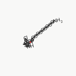 Cc1sc2c(c1C)C(c1ccc(Cl)cc1)=N[C@@H](CC(=O)Nc1ccc(OCCOCCOCCOCCOCCOCCOCCOCCOCCN)cc1)c1nnc(C)n1-2